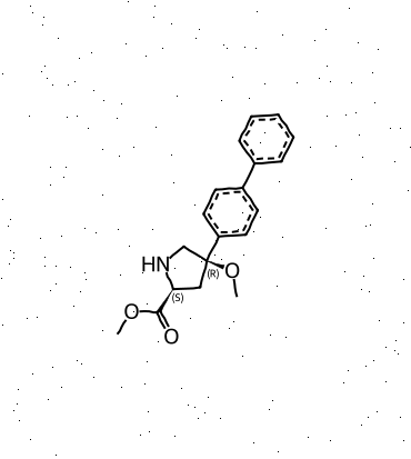 COC(=O)[C@@H]1C[C@@](OC)(c2ccc(-c3ccccc3)cc2)CN1